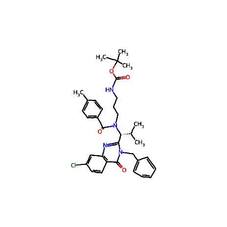 Cc1ccc(C(=O)N(CCCNC(=O)OC(C)(C)C)[C@@H](c2nc3cc(Cl)ccc3c(=O)n2Cc2ccccc2)C(C)C)cc1